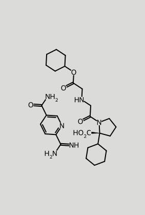 N=C(N)c1ccc(C(N)=O)cn1.O=C(CNCC(=O)N1CCC[C@]1(C(=O)O)C1CCCCC1)OC1CCCCC1